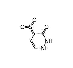 O=c1[nH][nH]ccc1=S(=O)=O